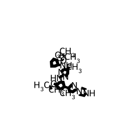 Cc1cc(OC(C)C)c(Nc2ncc(C)c(Nc3ccccc3S(=O)(=O)C(C)C)n2)cc1-c1ccc(N2CCNCC2)nc1